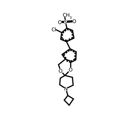 CS(=O)(=O)c1ccc(-c2ccc3c(c2)COC2(CCN(C4CCC4)CC2)O3)cc1Cl